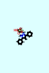 CC1C(C2CCCCC2)N(C)N(C)C1C1CCCCC1.[O-][Cl+3]([O-])([O-])O